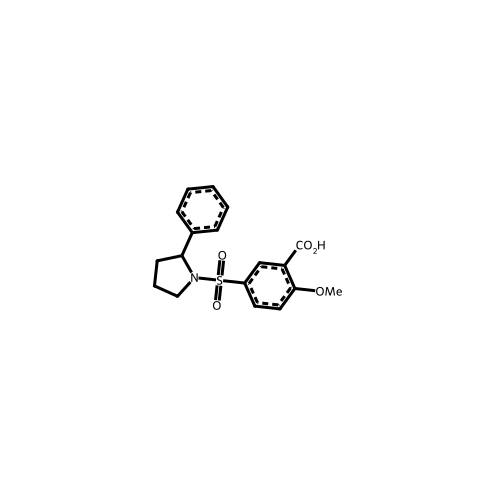 COc1ccc(S(=O)(=O)N2CCCC2c2ccccc2)cc1C(=O)O